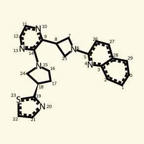 c1ccc2nc(N3CC(c4nccnc4N4CC[C@@H](c5nccs5)C4)C3)ccc2c1